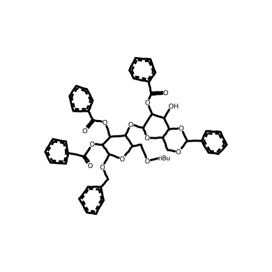 CCCCOCC1OC(OCc2ccccc2)C(OC(=O)c2ccccc2)C(OC(=O)c2ccccc2)C1OC1OC2COC(c3ccccc3)OC2C(O)C1OC(=O)c1ccccc1